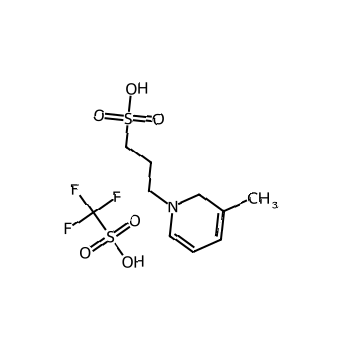 CC1=CC=CN(CCCS(=O)(=O)O)C1.O=S(=O)(O)C(F)(F)F